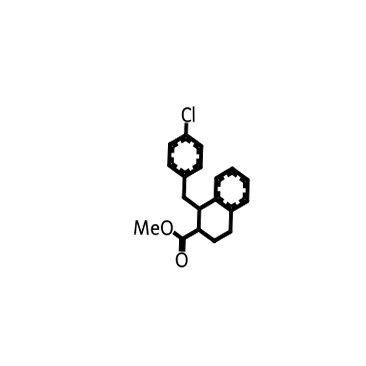 COC(=O)C1CCc2ccccc2C1Cc1ccc(Cl)cc1